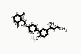 C=C/C=C(\P)c1ccc(C)c(-c2ccc(NCc3c(F)cccc3F)cn2)c1